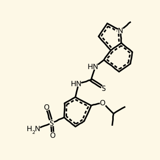 CC(C)Oc1ccc(S(N)(=O)=O)cc1NC(=S)Nc1cccc2c1ccn2C